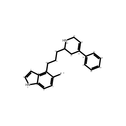 Fc1ccc2[nH]ccc2c1CCCC1CC(c2ccccc2)=CCN1